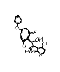 OC(c1c(F)cc(Oc2ccccc2)cc1Cl)c1c[nH]c2nccc(Cl)c12